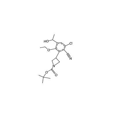 CCOc1c(C(C)O)cc(Cl)c(C#N)c1C1CN(C(=O)OC(C)(C)C)C1